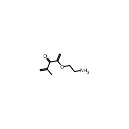 C=C(C)C(=O)C(=C)OCCN